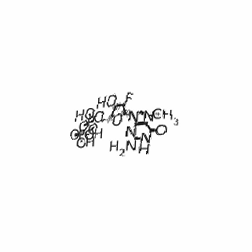 C[n+]1cn([C@@H]2O[C@H](COP(=O)(O)OP(=O)(O)O)[C@H](O)C2F)c2nc(N)[nH]c(=O)c21